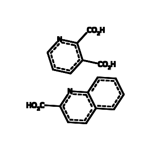 O=C(O)c1ccc2ccccc2n1.O=C(O)c1cccnc1C(=O)O